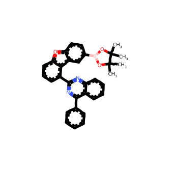 CC1(C)OB(c2ccc3oc4cccc(-c5nc(-c6ccccc6)c6ccccc6n5)c4c3c2)OC1(C)C